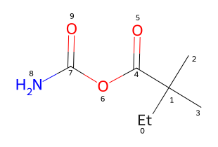 CCC(C)(C)C(=O)OC(N)=O